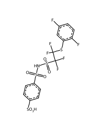 O=S(=O)(O)c1ccc(S(=O)(=O)NS(=O)(=O)C(F)(F)C(F)(F)Sc2cc(F)ccc2F)cc1